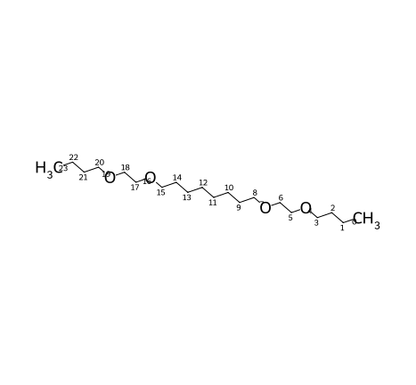 CCCCOCCOCCCCCCCCOCCOCCCC